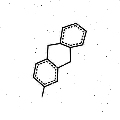 Cc1ccc2c(c1)Cc1ccccc1C2